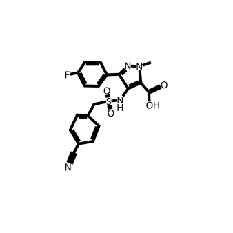 Cn1nc(-c2ccc(F)cc2)c(NS(=O)(=O)Cc2ccc(C#N)cc2)c1C(=O)O